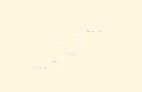 CSC(C)N1CCC(NC(=O)CC(C)C)C(O)C1